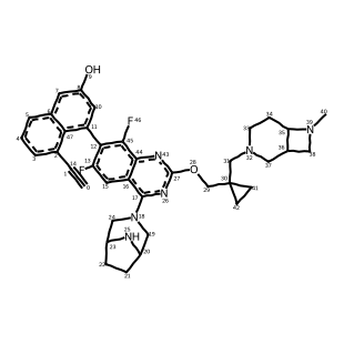 C#Cc1cccc2cc(O)cc(-c3c(F)cc4c(N5CC6CCC(C5)N6)nc(OCC5(CN6CCC7C(C6)CN7C)CC5)nc4c3F)c12